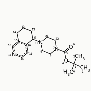 CC(C)(C)OC(=O)N1CCN(C2CCCc3cnccc32)CC1